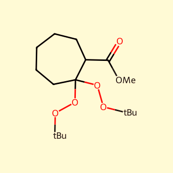 COC(=O)C1CCCCCC1(OOC(C)(C)C)OOC(C)(C)C